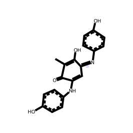 CC1=C(O)/C(=N\c2ccc(O)cc2)C=C(Nc2ccc(O)cc2)C1=O